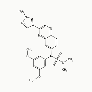 COc1cc(OC)cc(N(c2ccc3ncc(-c4cnn(C)c4)nc3c2)S(=O)(=O)N(C)C)c1